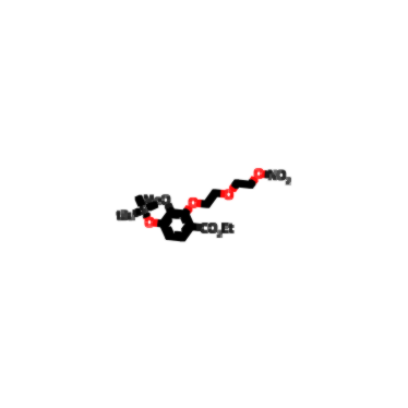 CCOC(=O)c1ccc(O[Si](C)(C)C(C)(C)C)c(OC)c1OCCOCCO[N+](=O)[O-]